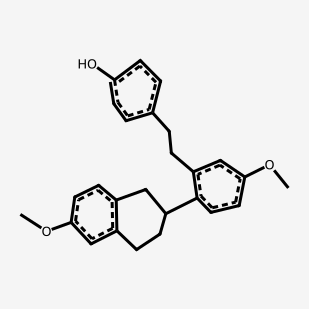 COc1ccc2c(c1)CCC(c1ccc(OC)cc1CCc1ccc(O)cc1)C2